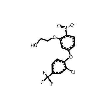 O=[N+]([O-])c1ccc(Oc2ccc(C(F)(F)F)cc2Cl)cc1OCCO